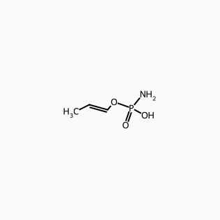 CC=COP(N)(=O)O